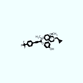 CO[C@]12CC[C@@H](N(C)C(=O)C#Cc3ccc(C(F)(F)F)cc3)C[C@]1(c1cccc(O)c1)CCN(CC1CC1)C2